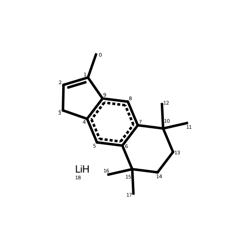 CC1=C[CH]c2cc3c(cc21)C(C)(C)CCC3(C)C.[LiH]